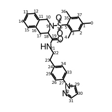 Cc1cc(C)c(S(=O)(=O)N2Cc3ccccc3CC2C(=O)NCCc2ccc(-n3cccn3)cc2)c(C)c1